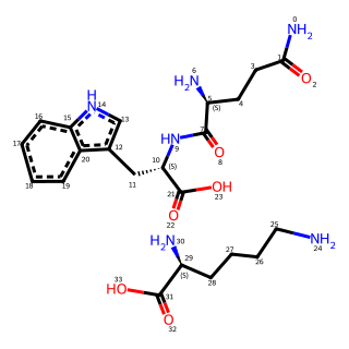 NC(=O)CC[C@H](N)C(=O)N[C@@H](Cc1c[nH]c2ccccc12)C(=O)O.NCCCC[C@H](N)C(=O)O